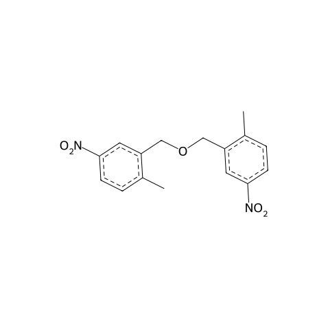 Cc1ccc([N+](=O)[O-])cc1COCc1cc([N+](=O)[O-])ccc1C